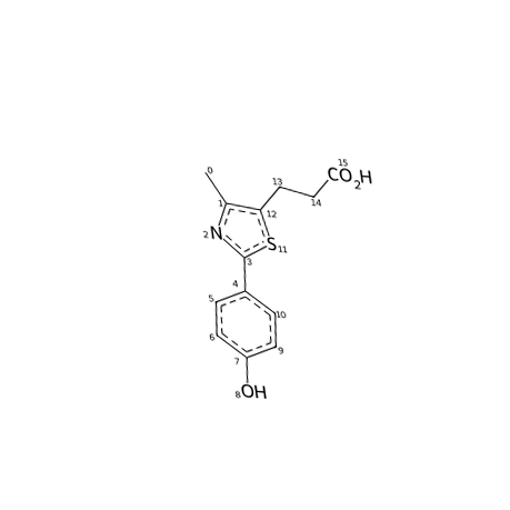 Cc1nc(-c2ccc(O)cc2)sc1CCC(=O)O